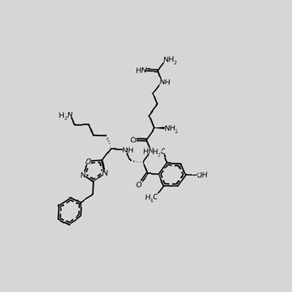 Cc1cc(O)cc(C)c1C(=O)[C@H](CN[C@@H](CCCCN)c1nc(Cc2ccccc2)no1)NC(=O)[C@H](N)CCCNC(=N)N